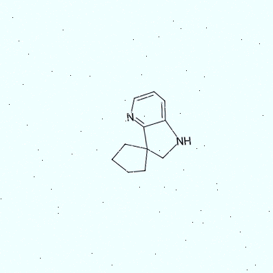 c1cnc2c(c1)NCC21CCCC1